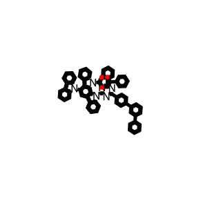 c1ccc(-c2ccc(-n3c4ccccc4c4c(-n5c6ccccc6c6ccccc65)cc5c6ccccc6n(-c6nc(-c7ccccc7)nc(-c7ccc(-c8cccc(-c9ccccc9)c8)cc7)n6)c5c43)cc2)cc1